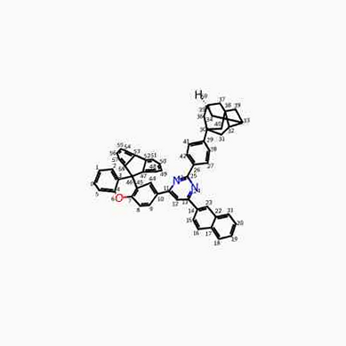 c1ccc2c(c1)Oc1ccc(-c3cc(-c4ccc5ccccc5c4)nc(-c4ccc(C56CC7C8C[C@@H](C5)CC7(C8)C6)cc4)n3)cc1C21c2ccccc2-c2ccccc21